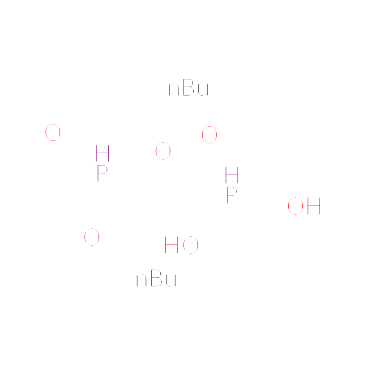 CCCCO[PH](=O)OCCCC.O=[PH](O)O